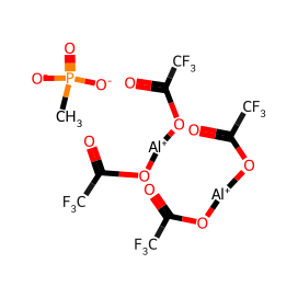 CP(=O)([O-])[O-].O=C([O][Al+][O]C(=O)C(F)(F)F)C(F)(F)F.O=C([O][Al+][O]C(=O)C(F)(F)F)C(F)(F)F